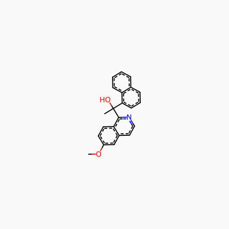 COc1ccc2c(C(C)(O)c3cccc4ccccc34)nccc2c1